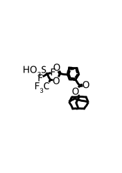 O=C(OC(C(F)(F)F)C(F)(F)S(=O)(=O)O)c1cccc(C(=O)OC23CC4CC(CC(C4)C2)C3)c1